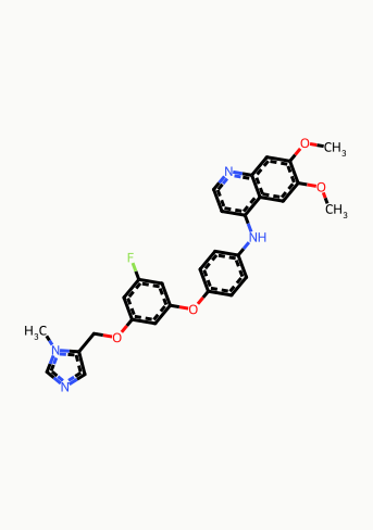 COc1cc2nccc(Nc3ccc(Oc4cc(F)cc(OCc5cncn5C)c4)cc3)c2cc1OC